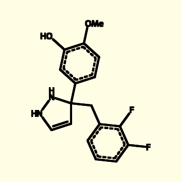 COc1ccc(C2(Cc3cccc(F)c3F)C=CNN2)cc1O